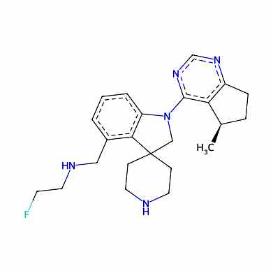 C[C@@H]1CCc2ncnc(N3CC4(CCNCC4)c4c(CNCCF)cccc43)c21